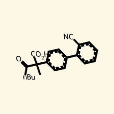 CCCCC(=O)C(C)(C(=O)O)c1ccc(-c2ccccc2C#N)cc1